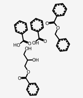 O=C(O)c1ccccc1.O=C(O)c1ccccc1.O=C(OCC(O)CO)c1ccccc1.O=C(OCc1ccccc1)c1ccccc1